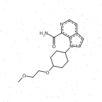 COCCOC1CCC(n2ccc3ccnc(C(N)=O)c32)CC1